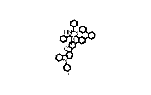 C[C@@H]1C=CC(N2C3=C(C4CC=CCC42)C2OC4C=CC(C5C=CC(C6C=CCCC6C6=CCCC=C6)=CC5C5N=C(C6C=CC=CC6)NC(C6=CCCC=C6)N5)CC4C2C=C3)CC1